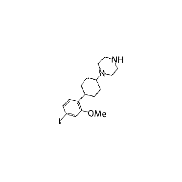 COc1cc(I)ccc1C1CCC(N2CCNCC2)CC1